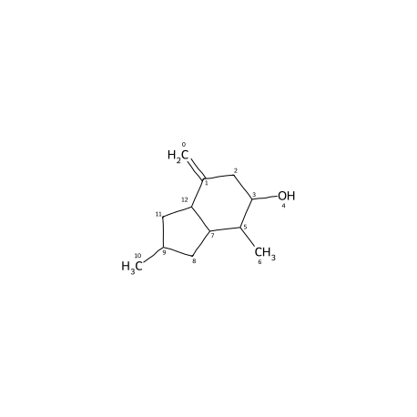 C=C1CC(O)C(C)C2CC(C)CC12